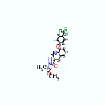 COCC(C)NC(=O)c1cnc2c(Oc3ccc(C(F)(F)F)cc3)cccc2c1